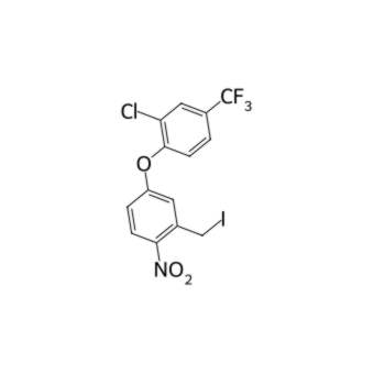 O=[N+]([O-])c1ccc(Oc2ccc(C(F)(F)F)cc2Cl)cc1CI